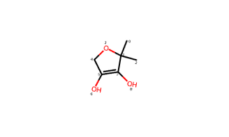 CC1(C)OCC(O)=C1O